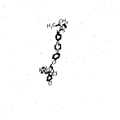 CCC(C)n1ccsc1=Nc1ccc(N2CCN(c3ccc(OCC4COC(Cn5cncn5)(c5ccc(Cl)cc5Cl)O4)cc3)CC2)cc1